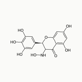 O=C1c2c(O)cc(O)cc2O[C@H](c2cc(O)c(O)c(O)c2)C1NO